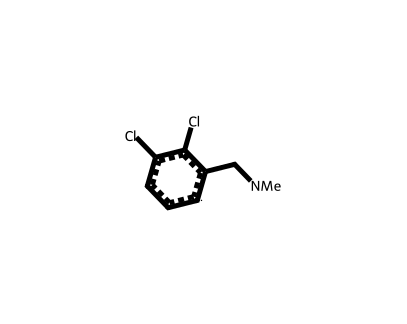 CNCc1[c]ccc(Cl)c1Cl